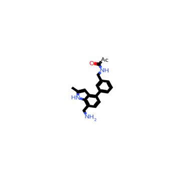 CC(=O)C(=O)NCc1cccc(-c2ccc(CN)c3[nH]c(C)cc23)c1